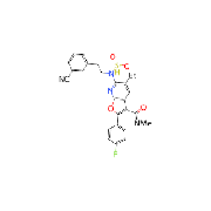 CCc1cc2c(C(=O)NC)c(-c3ccc(F)cc3)oc2nc1N(CCc1cccc(C#N)c1)[SH](=O)=O